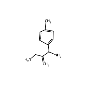 C=C(CN)N(N)c1ccc(C)cc1